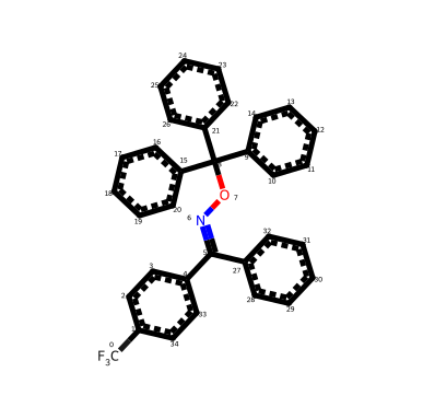 FC(F)(F)c1ccc(C(=NOC(c2ccccc2)(c2ccccc2)c2ccccc2)c2ccccc2)cc1